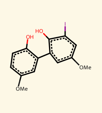 COc1ccc(O)c(-c2cc(OC)cc(I)c2O)c1